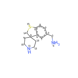 NCc1ccc2c(c1)C1(CCNCC1)CS2